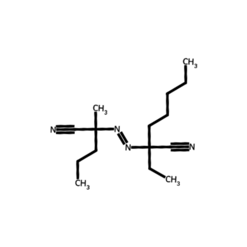 CCCCCC(C#N)(CC)/N=N/C(C)(C#N)CCC